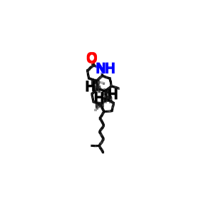 CC(C)CCCCC1CC[C@H]2[C@@H]3C(C)CC4NC(=O)CC[C@]4(C)[C@@H]3CC[C@]12C